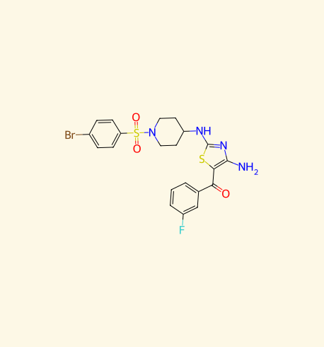 Nc1nc(NC2CCN(S(=O)(=O)c3ccc(Br)cc3)CC2)sc1C(=O)c1cccc(F)c1